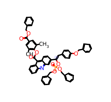 Cc1cc(C(=O)OCc2ccccc2)cc(C)c1OC(=O)c1c2ccccc2nc2cc(/C(=C/c3ccc(OCc4ccccc4)cc3)OP(=O)(OCc3ccccc3)OCc3ccccc3)ccc12